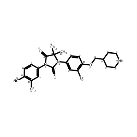 CCc1cc(N2C(=S)N(c3ccc(C#N)c(C(F)(F)F)c3)C(=O)C2(C)C)ccc1OCC1CCNCC1